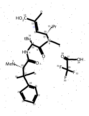 CN[C@H](C(=O)N[C@H](C(=O)N(C)[C@H](/C=C(\C)C(=O)O)C(C)C)C(C)(C)C)C(C)(C)c1ccccc1.O=C(O)C(F)(F)F